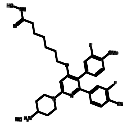 COc1ccc(-c2c(OCCCCCCC(=O)NO)cc(N3CCC(N)CC3)nc2-c2ccc(C#N)c(F)c2)cc1F.Cl